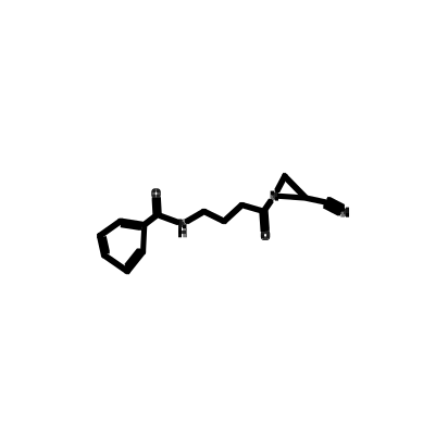 N#CC1CN1C(=O)CCCNC(=O)c1ccccc1